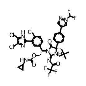 CC(C)(C)C[C@]1(c2ccc(-c3cnn(C(F)F)c3)cc2)N/C(=N\C(=O)C(F)(F)F)N([C@H](COC(=O)NC2CC2)c2ccc(Cl)c(-c3nc(Cl)c(Cl)[nH]3)c2)C1=O